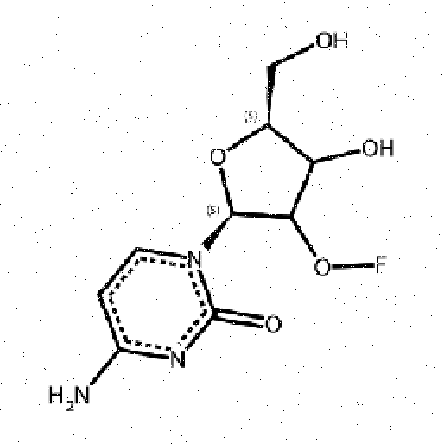 Nc1ccn([C@H]2O[C@@H](CO)C(O)C2OF)c(=O)n1